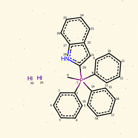 CP(c1ccccc1)(c1ccccc1)(c1ccccc1)c1cc2ccccc2[nH]1.I.I